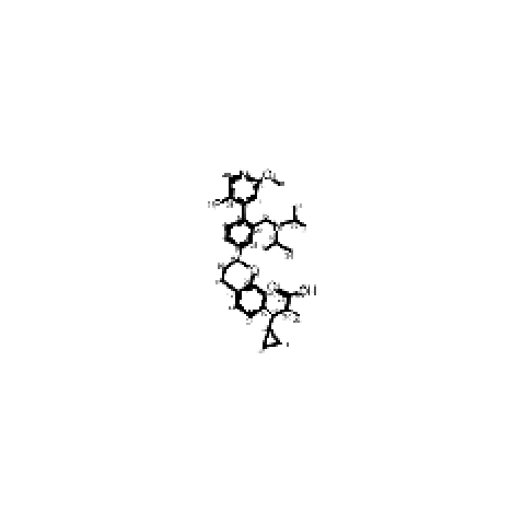 COc1cc(-c2ccc([C@@H]3CCc4ccc([C@H](C5CC5)[C@H](C)C(=O)O)cc4O3)cc2CN(C(C)C)C(C)C)c(F)cn1